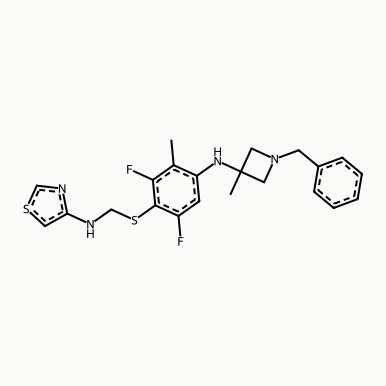 Cc1c(NC2(C)CN(Cc3ccccc3)C2)cc(F)c(SCNc2cscn2)c1F